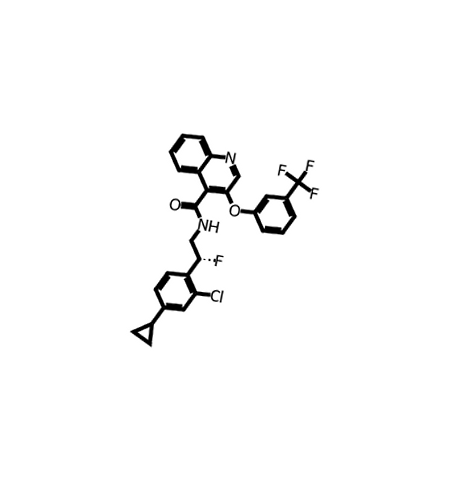 O=C(NC[C@H](F)c1ccc(C2CC2)cc1Cl)c1c(Oc2cccc(C(F)(F)F)c2)cnc2ccccc12